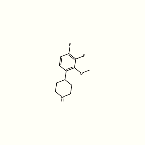 COc1c(C2CCNCC2)ccc(F)c1F